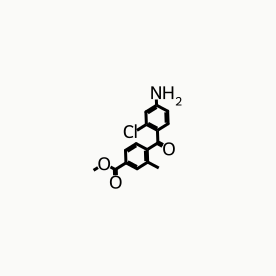 COC(=O)c1ccc(C(=O)c2ccc(N)cc2Cl)c(C)c1